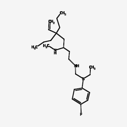 C=CC(CCC)(CCC)CC(CCNCN(CC)c1ccc(F)cc1)NC